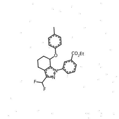 CCOC(=O)c1cccc(-n2nc(C(F)F)c3c2C(Oc2ccc(C)cc2)CCC3)c1